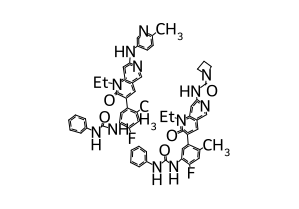 CCn1c(=O)c(-c2cc(NC(=O)Nc3ccccc3)c(F)cc2C)cc2cnc(NC(=O)N3CCC3)cc21.CCn1c(=O)c(-c2cc(NC(=O)Nc3ccccc3)c(F)cc2C)cc2cnc(Nc3ccc(C)nc3)cc21